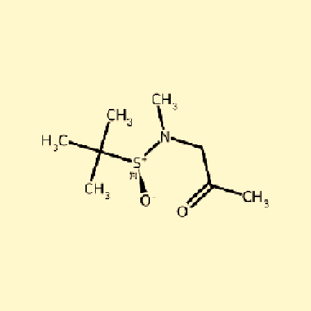 CC(=O)CN(C)[S@@+]([O-])C(C)(C)C